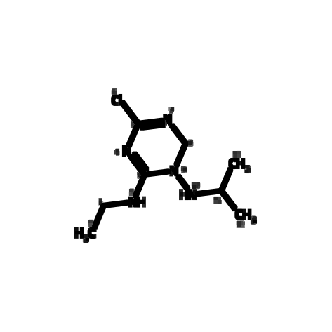 CCNC1=NC(Cl)=NCN1NC(C)C